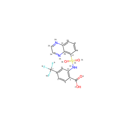 O=C(O)c1ccc(C(F)(F)F)cc1NS(=O)(=O)c1cccc2nccnc12